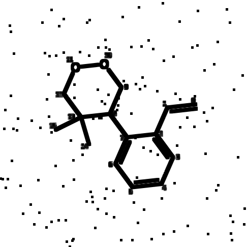 C=Cc1ccccc1C1COOCC1(C)C